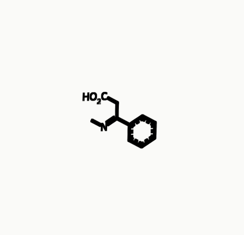 CN=C(CC(=O)O)c1ccccc1